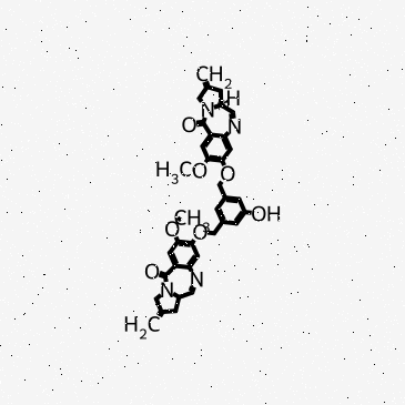 C=C1CC2C=Nc3cc(OCc4cc(O)cc(COc5cc6c(cc5OC)C(=O)N5CC(=C)C[C@H]5C=N6)c4)c(OC)cc3C(=O)N2C1